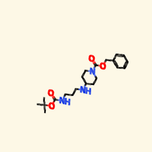 CC(C)(C)OC(=O)NCCCNC1CCN(C(=O)OCc2ccccc2)CC1